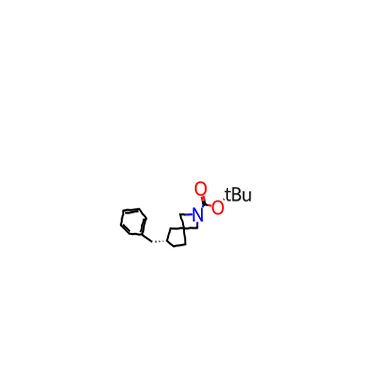 CC(C)(C)OC(=O)N1CC2(CC[C@H](Cc3ccccc3)C2)C1